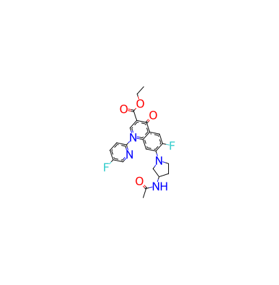 CCOC(=O)c1cn(-c2ccc(F)cn2)c2cc(N3CCC(NC(C)=O)C3)c(F)cc2c1=O